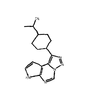 CC(C#N)C1CCC(c2nnn3cnc4[nH]ccc4c23)CC1